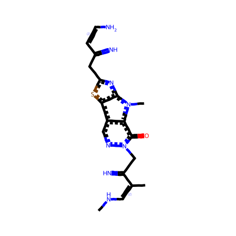 CN/C=C(/C)C(=N)Cn1ncc2c3sc(CC(=N)/C=C\N)nc3n(C)c2c1=O